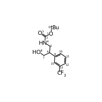 CC(C)(C)OC(=O)NCC(CO)c1cccc(C(F)(F)F)c1